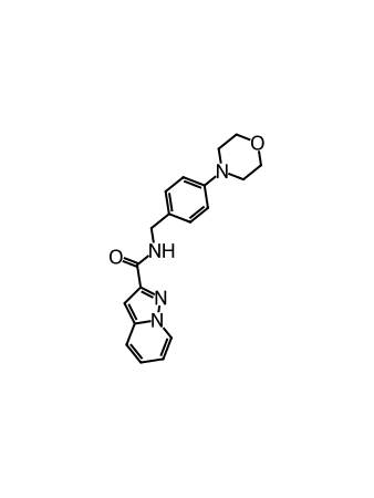 O=C(NCc1ccc(N2CCOCC2)cc1)c1cc2ccccn2n1